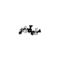 CC(C)(C)c1nc(C(=O)NCc2ccc(-c3ccnc(NC(=O)C4CC4)c3)cc2C2CC2)no1